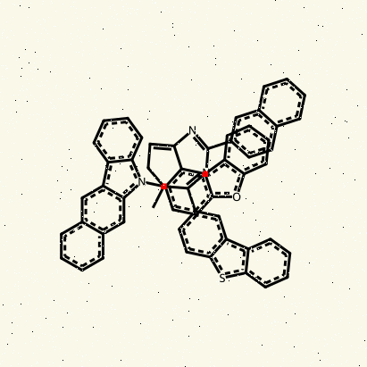 CC1C/C=C(c2c(-n3c4ccccc4c4cc5ccccc5cc43)ccc3oc4ccccc4c23)/N=C(c2ccc3ccccc3c2)\N=C/1c1ccc2sc3ccccc3c2c1